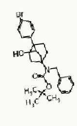 CC(C)(C)OC(=O)N(Cc1ccccc1)C12CCC(c3ccc(Br)cc3)(CC1)C(O)C2